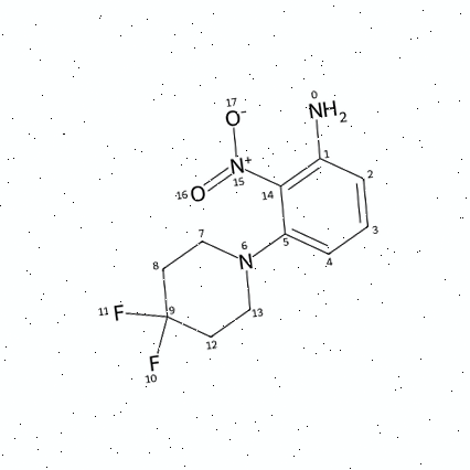 Nc1cccc(N2CCC(F)(F)CC2)c1[N+](=O)[O-]